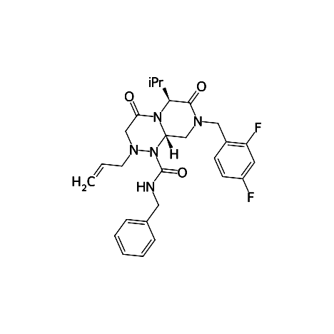 C=CCN1CC(=O)N2[C@@H](C(C)C)C(=O)N(Cc3ccc(F)cc3F)C[C@@H]2N1C(=O)NCc1ccccc1